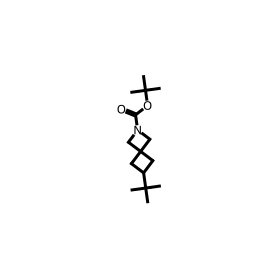 CC(C)(C)OC(=O)N1CC2(CC(C(C)(C)C)C2)C1